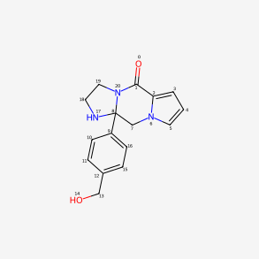 O=C1c2cccn2CC2(c3ccc(CO)cc3)NCCN12